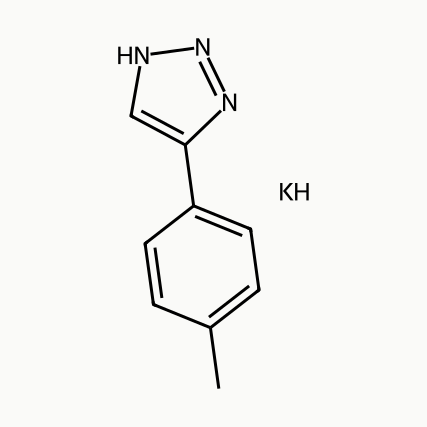 Cc1ccc(-c2c[nH]nn2)cc1.[KH]